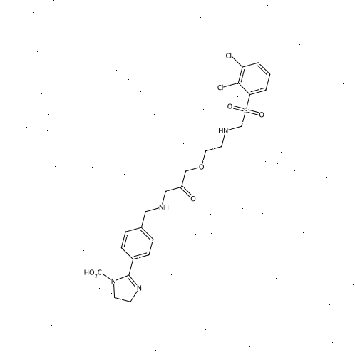 O=C(CNCc1ccc(C2=NCCN2C(=O)O)cc1)COCCNCS(=O)(=O)c1cccc(Cl)c1Cl